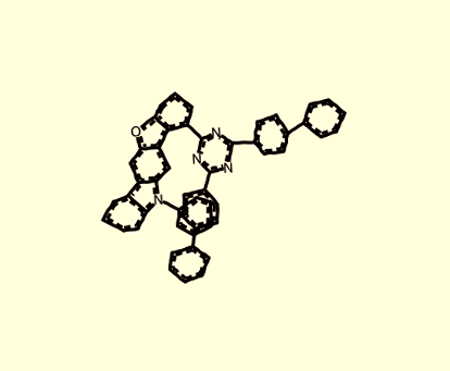 c1ccc(-c2ccc(-c3nc(-c4ccc(-c5ccccc5)cc4)nc(-c4cccc5oc6cc7c8ccccc8n(-c8ccccc8)c7cc6c45)n3)cc2)cc1